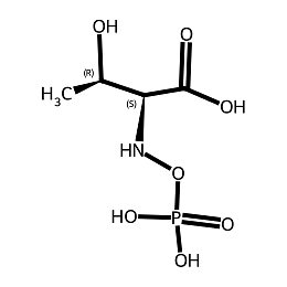 C[C@@H](O)[C@H](NOP(=O)(O)O)C(=O)O